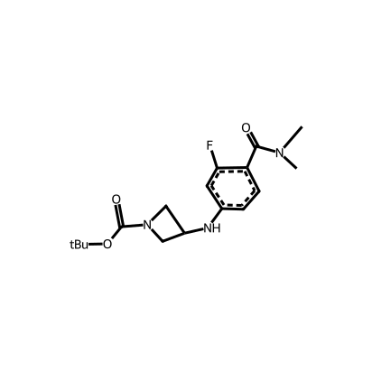 CN(C)C(=O)c1ccc(NC2CN(C(=O)OC(C)(C)C)C2)cc1F